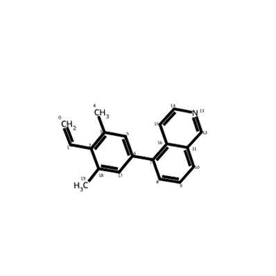 C=Cc1c(C)cc(-c2cccc3cnccc23)cc1C